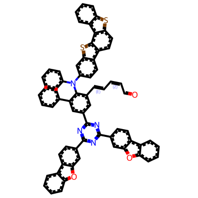 O=C/C=C\C=C\c1cc(-c2nc(-c3ccc4c(c3)oc3ccccc34)nc(-c3ccc4c(c3)oc3ccccc34)n2)cc(-c2ccccc2)c1N(c1ccccc1)c1ccc2c(c1)sc1c2ccc2sc3ccccc3c21